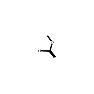 [CH]=C(Cl)OC